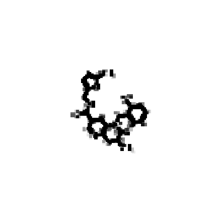 Cc1ccc(CNC(=O)c2cnc3c(c2)N(Cc2c(F)cccc2Cl)C(=O)C(C)S3)o1